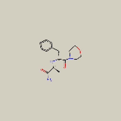 C[C@H](N[C@H](Cc1ccccc1)C(=O)N1CCOCC1)C(N)=O